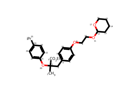 CCOC(=O)C(C)(Cc1ccc(OCCOC2CCCCO2)cc1)Oc1ccc(C(C)C)cc1